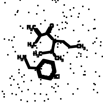 C=C(C)C(=O)N(CCC)N(C)C.Cl.NCc1ccccc1